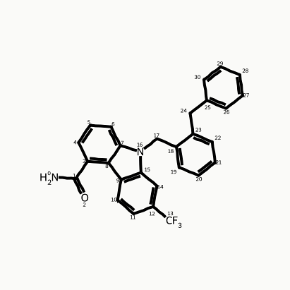 NC(=O)c1cccc2c1c1[c]cc(C(F)(F)F)cc1n2Cc1ccccc1Cc1ccccc1